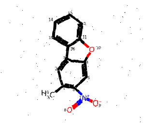 Cc1cc2c(cc1[N+](=O)[O-])oc1ccccc12